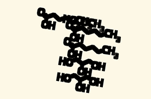 CC(=O)O.CCCCCC(=O)O.CCCCCC(=O)O.CCCCCC(=O)O.OCC(O)CO.OCC(O)CO